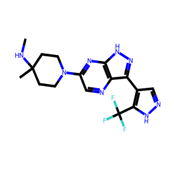 CNC1(C)CCN(c2cnc3c(-c4cn[nH]c4C(F)(F)F)n[nH]c3n2)CC1